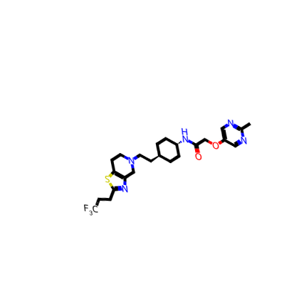 Cc1ncc(OCC(=O)N[C@H]2CC[C@H](CCN3CCc4sc(CCC(F)(F)F)nc4C3)CC2)cn1